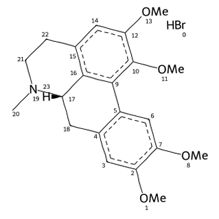 Br.COc1cc2c(cc1OC)-c1c(OC)c(OC)cc3c1[C@H](C2)N(C)CC3